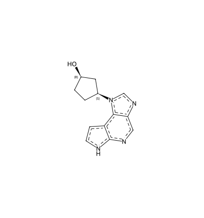 O[C@@H]1CC[C@H](n2cnc3cnc4[nH]ccc4c32)C1